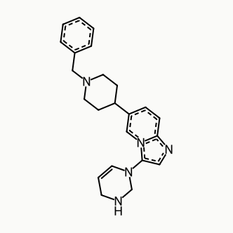 C1=CN(c2cnc3ccc(C4CCN(Cc5ccccc5)CC4)cn23)CNC1